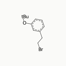 CC(C)(C)Oc1cccc(CCBr)c1